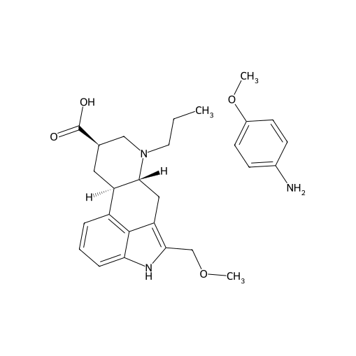 CCCN1C[C@H](C(=O)O)C[C@@H]2c3cccc4[nH]c(COC)c(c34)C[C@H]21.COc1ccc(N)cc1